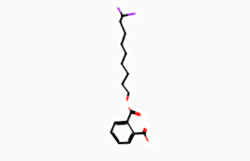 O=C(O)c1ccccc1C(=O)OCCCCCCCCC(I)I